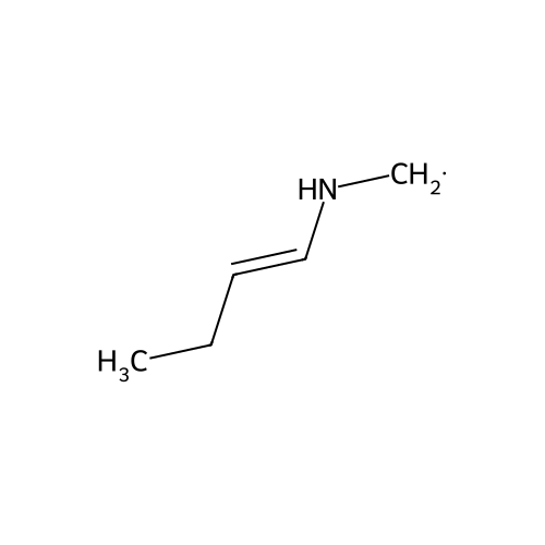 [CH2]N/C=C/CC